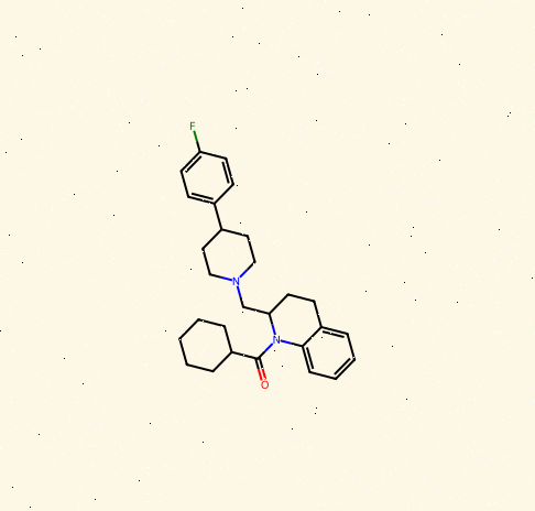 O=C(C1CCCCC1)N1c2ccccc2CCC1CN1CCC(c2ccc(F)cc2)CC1